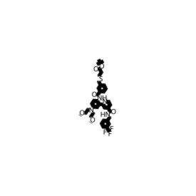 COCCN(CCOC)c1ccc(NC(=O)c2cccc(CSCCC(=O)OC(C)(C)C)c2)c(-c2cc(C(=O)NCc3cccc(C(F)(F)F)c3)ccn2)c1